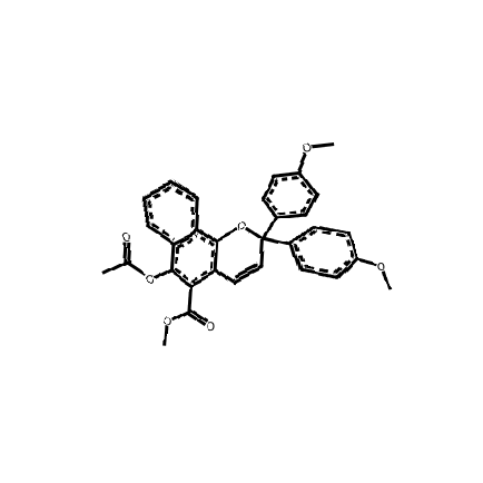 COC(=O)c1c2c(c3ccccc3c1OC(C)=O)OC(c1ccc(OC)cc1)(c1ccc(OC)cc1)C=C2